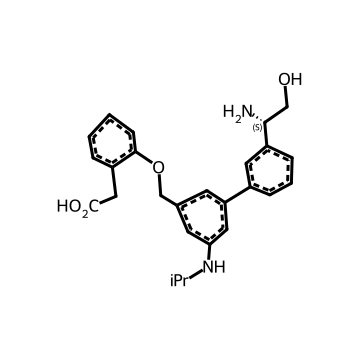 CC(C)Nc1cc(COc2ccccc2CC(=O)O)cc(-c2cccc([C@H](N)CO)c2)c1